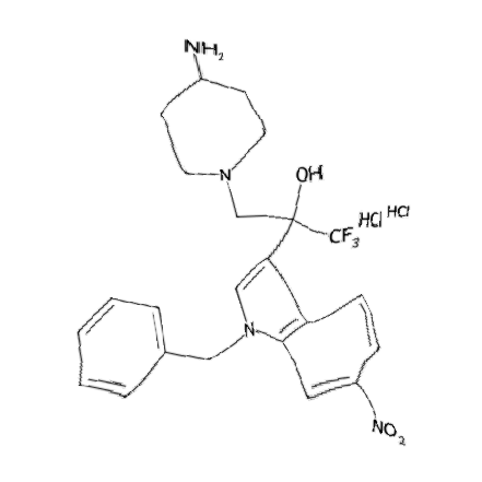 Cl.Cl.NC1CCN(CC(O)(c2cn(Cc3ccccc3)c3cc([N+](=O)[O-])ccc23)C(F)(F)F)CC1